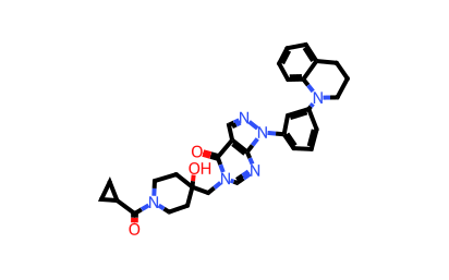 O=C(C1CC1)N1CCC(O)(Cn2cnc3c(cnn3-c3cccc(N4CCCc5ccccc54)c3)c2=O)CC1